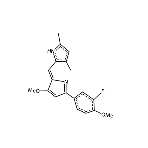 COC1=CC(c2ccc(OC)c(F)c2)=NC1=Cc1[nH]c(C)cc1C